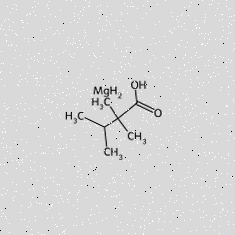 CC(C)C(C)(C)C(=O)O.[MgH2]